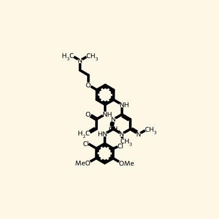 C=CC(=O)Nc1cc(OCCN(C)C)ccc1N/C(=C/C(=N\C)N(C)C(=O)Nc1c(Cl)c(OC)cc(OC)c1Cl)N=C